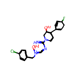 N=C(/N=C\N(O)Cc1ccc(Cl)cc1)N1CCC(C2=CCC(F)C=C2)C(O)C1